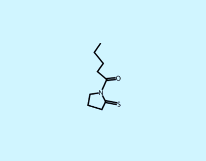 CCCCC(=O)N1CCCC1=S